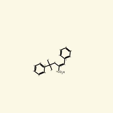 CC(C)(CC(=Cc1ccccc1)C(=O)O)c1ccccc1